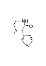 CN1CCNC(=O)C1c1ccccc1